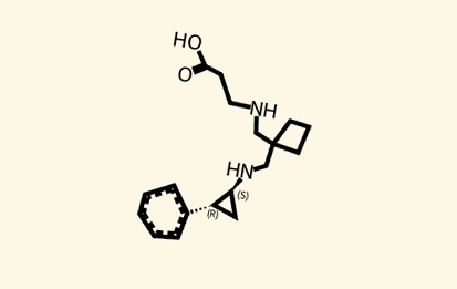 O=C(O)CCNCC1(CN[C@H]2C[C@@H]2c2ccccc2)CCC1